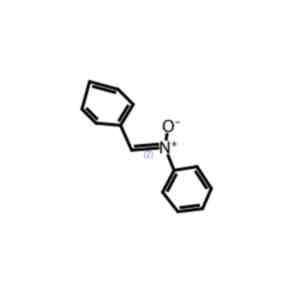 [O-]/[N+](=C\c1ccccc1)c1ccccc1